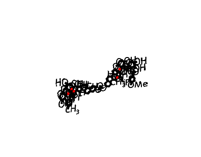 COc1ccc(C(=O)OC2C(OC3C(O)COC(O[C@H]4C[C@H]5[C@@H]6CC=C7C[C@@H](OC(=O)O[C@@H]8CC[C@@]9(C)C(=CC[C@@H]%10C9CC[C@@]9(C)[C@H]%10C[C@H](OC%10OCC(O)C(OC%11OCC(O)C(O)C%11OC(=O)c%11ccc(C)cc%11)C%10OC(C)=O)[C@]9(O)[C@H](C)C(=O)CCC(C)C)C8)CC[C@]7(C)C6CC[C@]5(C)[C@@]4(O)[C@H](C)C(=O)CCC(C)C)C3C)OCC(O)C2O)cc1